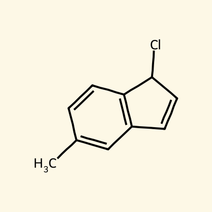 Cc1ccc2c(c1)C=CC2Cl